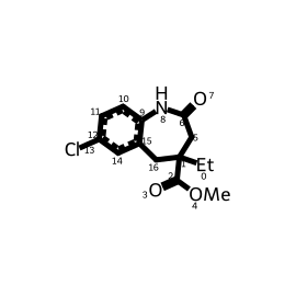 CCC1(C(=O)OC)CC(=O)Nc2ccc(Cl)cc2C1